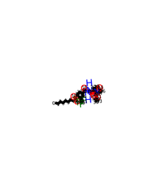 CCCCCCCCS(=O)(=O)c1ccc(C(=O)NNC(=O)C2(C)COC(C)(C)N2C(=O)OC(C)(C)C)cc1C(F)(F)F